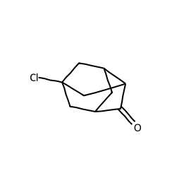 O=C1C2CC3CC(Cl)(C2)CC13